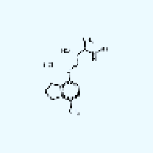 Cc1ccc(OC[C@H](O)[C@@H](C)NC(C)C)c2c1CCC2.Cl